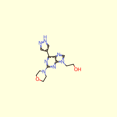 OCCn1cnc2c(-c3cn[nH]c3)nc(N3CCOCC3)nc21